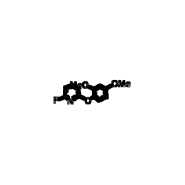 COc1ccc(Oc2cccc(F)n2)c(OC)c1